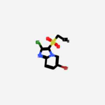 CCS(=O)(=O)c1c(Cl)nc2ccc(Br)cn12